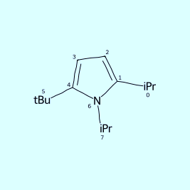 CC(C)c1ccc(C(C)(C)C)n1C(C)C